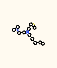 C1=Cc2c(n(-c3cccc(-c4ccc(N(c5ccc(-c6ccc(-c7cccc(-c8ccc9ccccc9c8)c7)cc6)cc5)c5ccc(-c6cccc7sc8ccccc8c67)cc5)cc4)c3)c3ccccc23)CC1